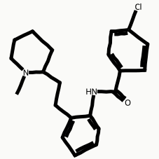 CN1CCCCC1CCc1ccccc1NC(=O)c1ccc(Cl)cc1